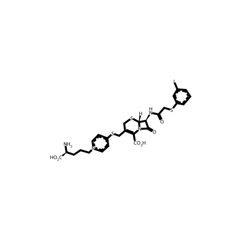 N[C@@H](CCC[n+]1ccc(SCC2=C(C(=O)O)N3C(=O)[C@H](NC(=O)CSc4cccc(I)c4)[C@H]3SC2)cc1)C(=O)O